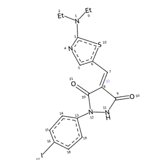 CCN(CC)c1ncc(/C=C2/C(=O)NN(c3ccc(I)cc3)C2=O)s1